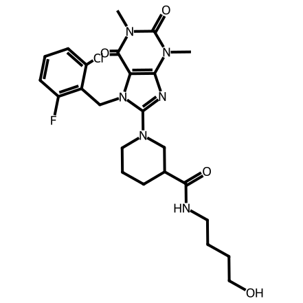 Cn1c(=O)c2c(nc(N3CCCC(C(=O)NCCCCO)C3)n2Cc2c(F)cccc2Cl)n(C)c1=O